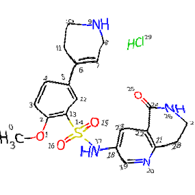 COc1ccc(C2=CCNCC2)cc1S(=O)(=O)Nc1cnc2c(c1)C(=O)NCC2.Cl